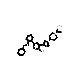 CC(C)(C)OC(=O)N1CCC(n2cnc(-c3cc(-c4ccccc4OCc4ccccc4)nnc3N)c2)CC1